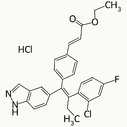 CCOC(=O)C=Cc1ccc(/C(=C(/CC)c2ccc(F)cc2Cl)c2ccc3[nH]ncc3c2)cc1.Cl